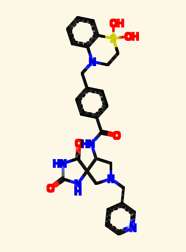 O=C1NC(=O)C2(CN(Cc3cccnc3)CC2NC(=O)c2ccc(CN3CCS(O)(O)c4ccccc43)cc2)N1